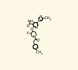 Cc1ccc(CC(=O)N2CC[C@@H](Oc3ncc(-n4cnc(C)c4)cc3C(N)=O)[C@@H](F)C2)cc1